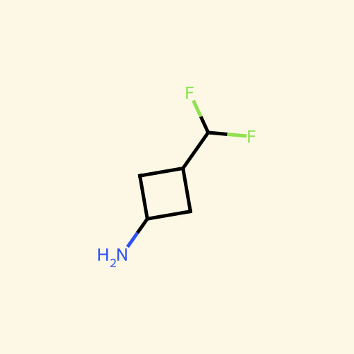 NC1CC(C(F)F)C1